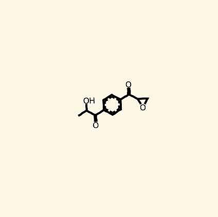 CC(O)C(=O)c1ccc(C(=O)C2CO2)cc1